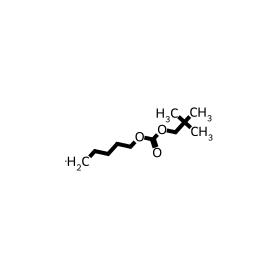 [CH2]CCCCOC(=O)OCC(C)(C)C